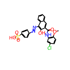 COc1ccc(Cl)cc1NC(=O)c1cc2ccccc2c(/N=N/c2ccc(S(=O)(=O)O)cc2)c1O